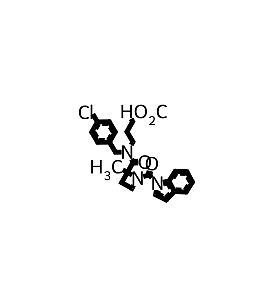 CC1(C(=O)N(CCCC(=O)O)Cc2ccc(Cl)cc2)CCN1C(=O)n1ccc2ccccc21